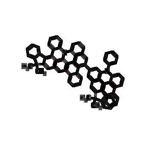 CC1(C)c2ccccc2-c2c(-c3ccccc3N(c3ccccc3)c3cc(-c4cccc(-c5ccccc5N(c5ccccc5-c5ccc6ccccc6c5)c5ccccc5-c5cccc6c5-c5ccccc5C6(C)C)c4)ccc3-c3ccc4ccccc4c3)cccc21